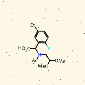 CCc1ccc(F)c(C(C(=O)O)N(CC(OC)OC)C(C)=O)c1